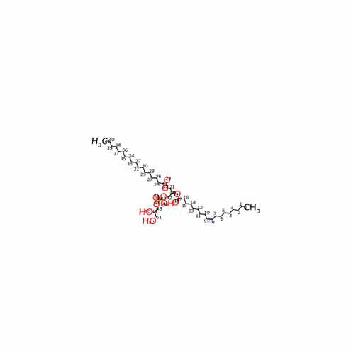 CCCCCCCC/C=C\CCCCCCCC(=O)O[C@H](COC(=O)CCCCCCCCCCCCCCCCC)COP(=O)(O)OCC(O)CO